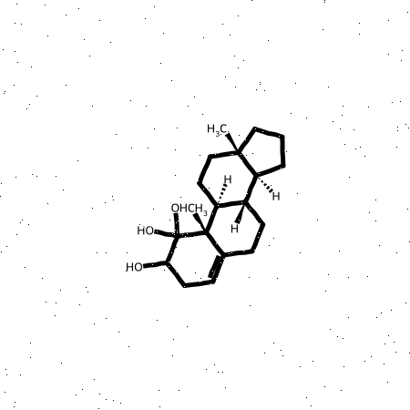 C[C@@]12CCC[C@H]1[C@@H]1CCC3=CCC(O)C(O)(O)[C@]3(C)[C@H]1CC2